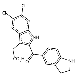 O=C(O)Cc1c(C(=O)c2ccc3c(c2)CCN3)[nH]c2cc(Cl)c(Cl)cc12